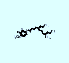 CCCC(C)CCCC(CCC)CCCC(=O)Oc1ccc(OC)c(F)c1F